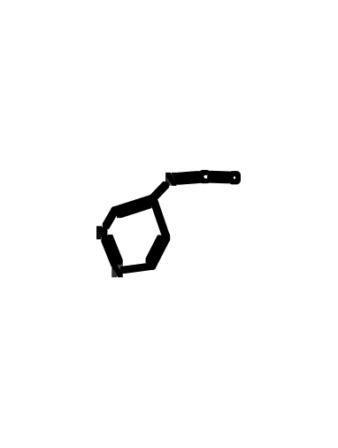 O=C=Nc1ccnnc1